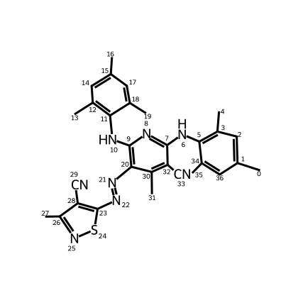 Cc1cc(C)c(Nc2nc(Nc3c(C)cc(C)cc3C)c(N=Nc3snc(C)c3C#N)c(C)c2C#N)c(C)c1